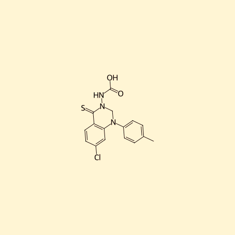 Cc1ccc(N2CN(NC(=O)O)C(=S)c3ccc(Cl)cc32)cc1